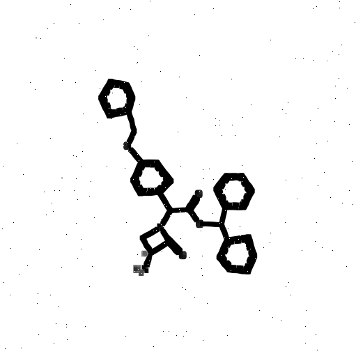 N[C@H]1CN(C(C(=O)OC(c2ccccc2)c2ccccc2)c2ccc(OCc3ccccc3)cc2)C1=O